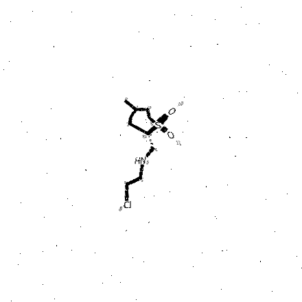 CC1C[C@@H](CNCCCl)S(=O)(=O)C1